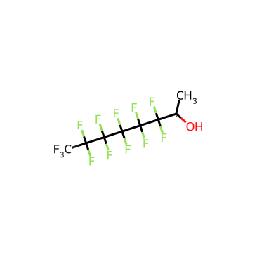 C[C](O)C(F)(F)C(F)(F)C(F)(F)C(F)(F)C(F)(F)C(F)(F)F